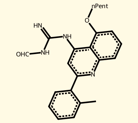 CCCCCOc1cccc2nc(-c3ccccc3C)cc(NC(=N)NC=O)c12